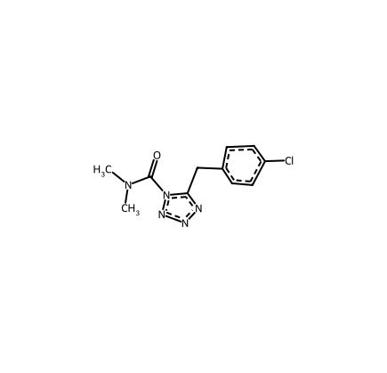 CN(C)C(=O)n1nnnc1Cc1ccc(Cl)cc1